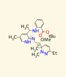 CCC1=NN(C)C(C)([C@H](C/N=c2\[nH]cc(C)cc2C(C)Nc2ccccc2C(=O)OC(C)(C)C)OC)C=C1